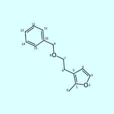 Cc1occc1CCOCc1ccccc1